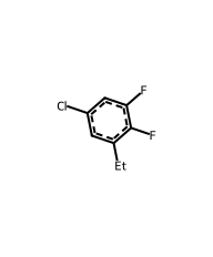 CCc1cc(Cl)cc(F)c1F